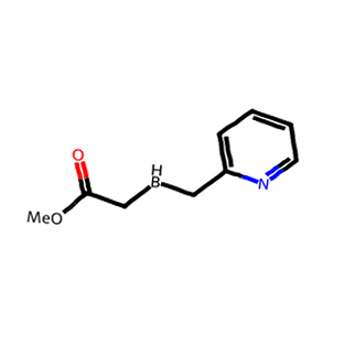 COC(=O)CBCc1ccccn1